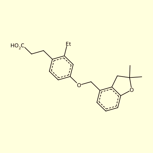 CCc1cc(OCc2cccc3c2CC(C)(C)O3)ccc1CCC(=O)O